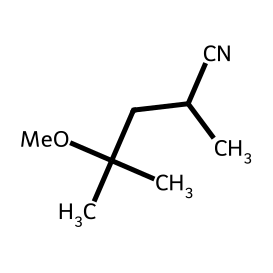 COC(C)(C)CC(C)C#N